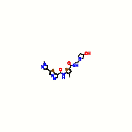 Cc1cc(C(=O)NCCN2CC[C@@H](O)C2)sc1NC(=O)c1cnn2cc(-c3cnn(C)c3)sc12